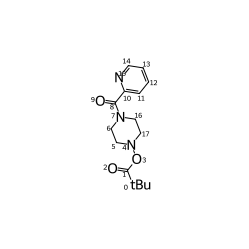 CC(C)(C)C(=O)ON1CCN(C(=O)c2ccccn2)CC1